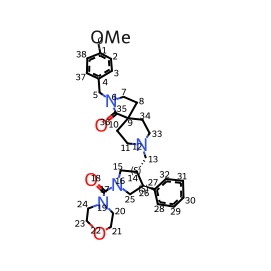 COc1ccc(CN2CCC3(CCN(C[C@H]4CN(C(=O)N5CCOCC5)C[C@@H]4c4ccccc4)CC3)C2=O)cc1